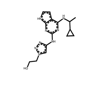 CC(Nc1nc(Nc2cn(CCO)nn2)nc2[nH]ccc12)C1CC1